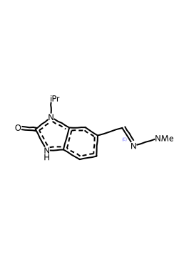 CN/N=C/c1ccc2[nH]c(=O)n(C(C)C)c2c1